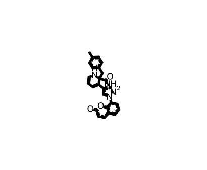 Cc1ccc(CC2(C(N)=O)NC=CC=C2c2cn(-c3cccc4ccc(=O)oc34)nn2)cc1